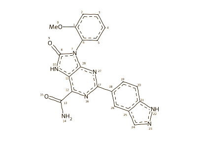 COc1ccccc1-n1c(=O)[nH]c2c(C(N)=O)nc(-c3ccc4[nH]ncc4c3)nc21